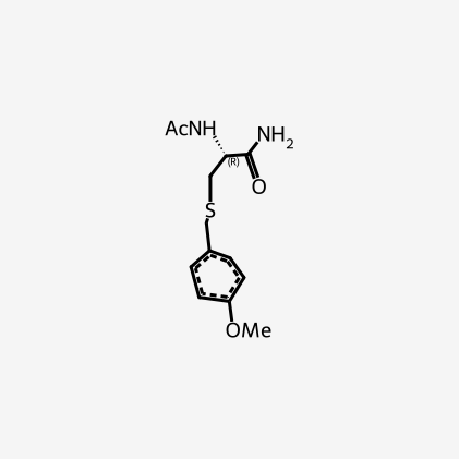 COc1ccc(CSC[C@H](NC(C)=O)C(N)=O)cc1